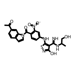 CC(=O)c1ccc2ccn(C(=O)c3ccc(Nc4snc(O)c4C(=N)NC(C)CO)cc3[N+](=O)[O-])c2c1